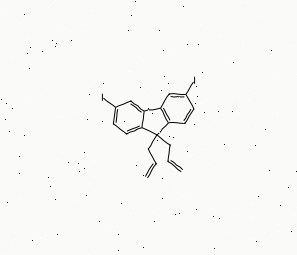 C=CCC1(CC=C)c2ccc(I)cc2-c2cc(I)ccc21